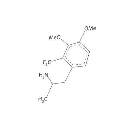 COc1ccc(CC(C)N)c(C(F)(F)F)c1OC